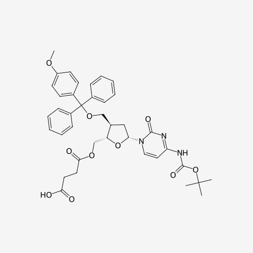 COc1ccc(C(OC[C@H]2C[C@H](n3ccc(NC(=O)OC(C)(C)C)nc3=O)O[C@@H]2COC(=O)CCC(=O)O)(c2ccccc2)c2ccccc2)cc1